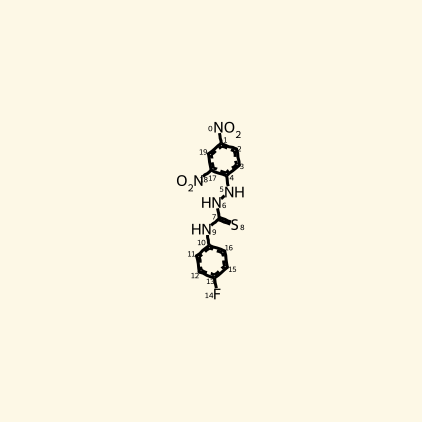 O=[N+]([O-])c1ccc(NNC(=S)Nc2ccc(F)cc2)c([N+](=O)[O-])c1